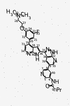 CCCC(=O)Nc1cncc(-c2cnc3[nH]nc(-c4cc5c(-c6cc(F)cc(OCCN(C)C)c6)ccnc5[nH]4)c3c2)c1